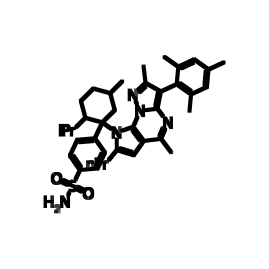 CCCc1cc2c(C)nc3c(-c4c(C)cc(C)cc4C)c(C)nn3c2n1C1(c2ccc(S(N)(=O)=O)cc2)CC(C)CCC1C(C)C